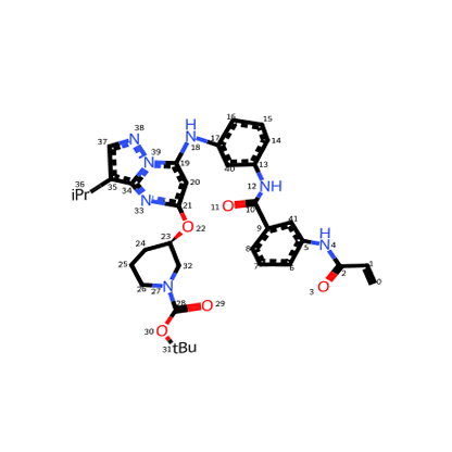 C=CC(=O)Nc1cccc(C(=O)Nc2cccc(Nc3cc(O[C@@H]4CCCN(C(=O)OC(C)(C)C)C4)nc4c(C(C)C)cnn34)c2)c1